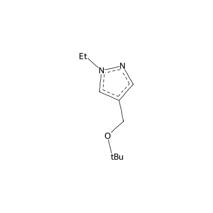 CCn1cc(COC(C)(C)C)cn1